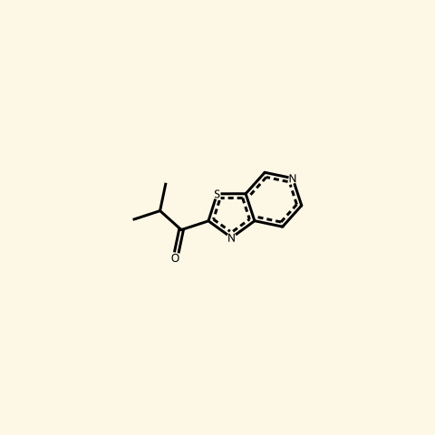 CC(C)C(=O)c1nc2ccncc2s1